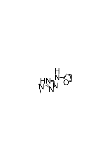 CN(C)c1nnc(Nc2ccco2)[nH]1